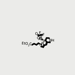 CCOC(=O)CCCCn1ccc(C=C2CNCCC2SC(C)=O)n1.O=C(O)C(F)(F)F